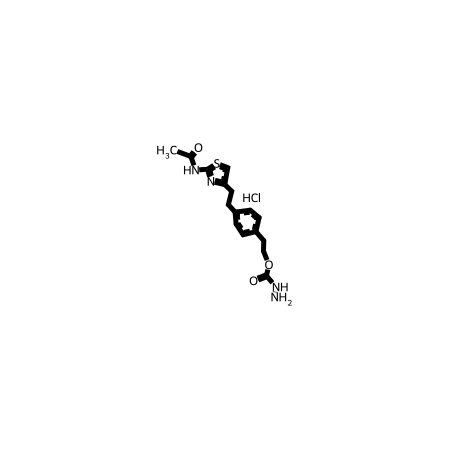 CC(=O)Nc1nc(CCc2ccc(CCOC(=O)NN)cc2)cs1.Cl